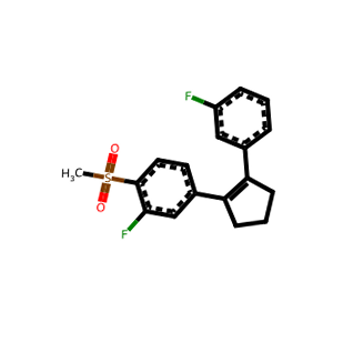 CS(=O)(=O)c1ccc(C2=C(c3cccc(F)c3)CCC2)cc1F